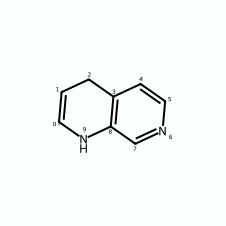 [C]1=CCc2ccncc2N1